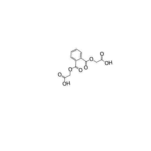 O=C(O)COC(=O)c1ccccc1C(=O)OCC(=O)O